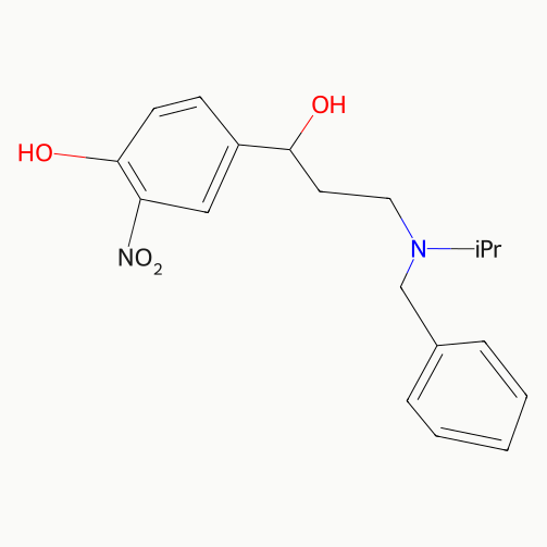 CC(C)N(CCC(O)c1ccc(O)c([N+](=O)[O-])c1)Cc1ccccc1